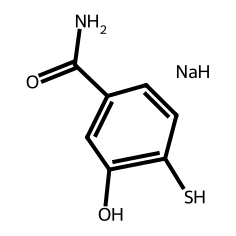 NC(=O)c1ccc(S)c(O)c1.[NaH]